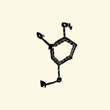 Cc1ccc(OC(C)C)c[n+]1[O-]